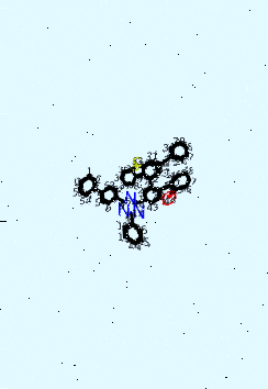 c1ccc(-c2ccc(-c3nc(-c4ccccc4)nc(-c4cc(-c5cc(-c6ccccc6)cc6sc7ccccc7c56)c5c(c4)oc4ccccc45)n3)cc2)cc1